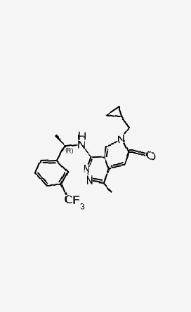 Cc1nnc(N[C@H](C)c2cccc(C(F)(F)F)c2)c2cn(CC3CC3)c(=O)cc12